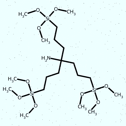 CO[Si](CCCC(N)(CCC[Si](OC)(OC)OC)CCC[Si](OC)(OC)OC)(OC)OC